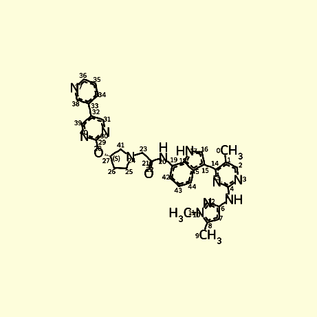 Cc1cnc(Nc2cc(C)n(C)n2)nc1-c1c[nH]c2c(NC(=O)CN3CC[C@H](Oc4ncc(-c5cccnc5)cn4)C3)cccc12